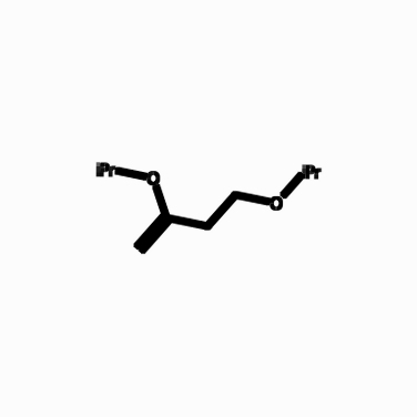 C=C(CCOC(C)C)OC(C)C